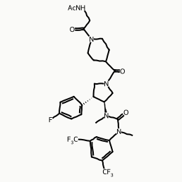 CC(=O)NCC(=O)N1CCC(C(=O)N2C[C@@H](N(C)C(=O)N(C)c3cc(C(F)(F)F)cc(C(F)(F)F)c3)[C@H](c3ccc(F)cc3)C2)CC1